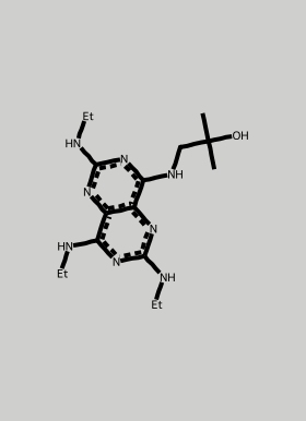 CCNc1nc(NCC(C)(C)O)c2nc(NCC)nc(NCC)c2n1